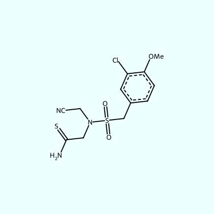 COc1ccc(CS(=O)(=O)N(CC#N)CC(N)=S)cc1Cl